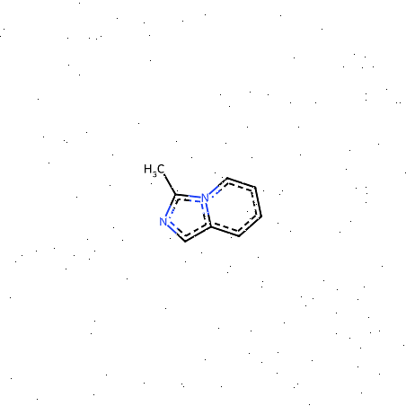 Cc1ncc2ccccn12